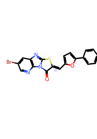 O=c1/c(=C/c2ccc(-c3ccccc3)o2)sc2nc3cc(Br)cnc3n12